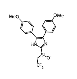 COc1ccc(-c2nc([S+]([O-])CC(F)(F)F)[nH]c2-c2ccc(OC)cc2)cc1